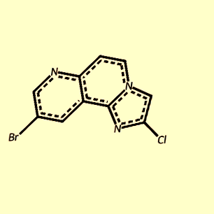 Clc1cn2ccc3ncc(Br)cc3c2n1